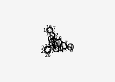 COc1cnc2c(c1)cc(C(=O)CC1CCCC1)n2S(=O)(=O)c1ccccc1